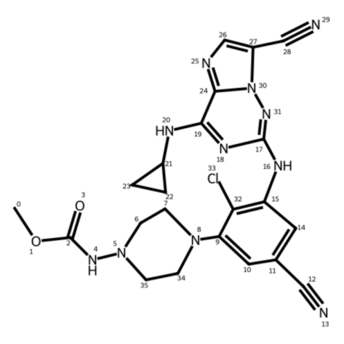 COC(=O)NN1CCN(c2cc(C#N)cc(Nc3nc(NC4CC4)c4ncc(C#N)n4n3)c2Cl)CC1